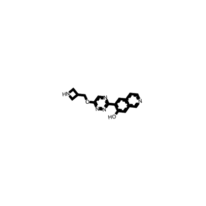 Oc1cc2cnccc2cc1-c1ncc(OCC2CNC2)nn1